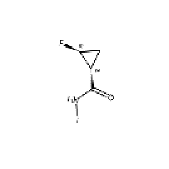 O=C(NI)[C@@H]1C[C@@H]1F